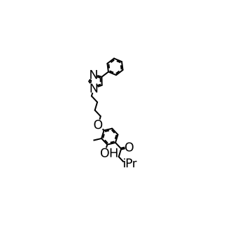 Cc1c(OCCCCn2cnc(-c3ccccc3)c2)ccc(C(=O)CC(C)C)c1O